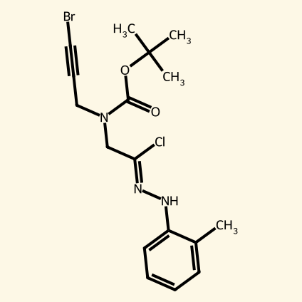 Cc1ccccc1N/N=C(\Cl)CN(CC#CBr)C(=O)OC(C)(C)C